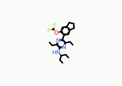 CCc1nc(-c2cc3c(cc2OC(F)F)CCC3)c(CC)nc1NC(CC)CC